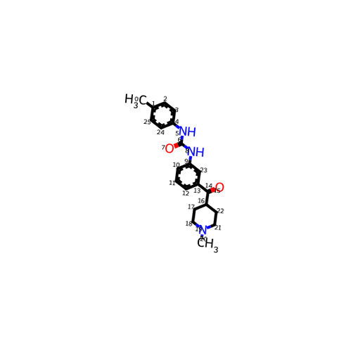 Cc1ccc(NC(=O)Nc2cccc(C(=O)C3CCN(C)CC3)c2)cc1